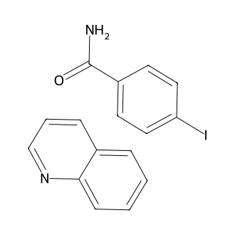 NC(=O)c1ccc(I)cc1.c1ccc2ncccc2c1